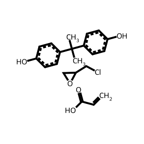 C=CC(=O)O.CC(C)(c1ccc(O)cc1)c1ccc(O)cc1.ClCC1CO1